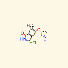 Cc1cc2c(=O)[nH]ccc2cc1O[C@@H]1CCNC1.Cl